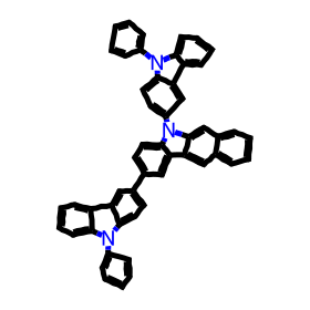 c1ccc(-n2c3ccccc3c3cc(-c4ccc5c(c4)c4cc6ccccc6cc4n5-c4ccc5c(c4)c4ccccc4n5-c4ccccc4)ccc32)cc1